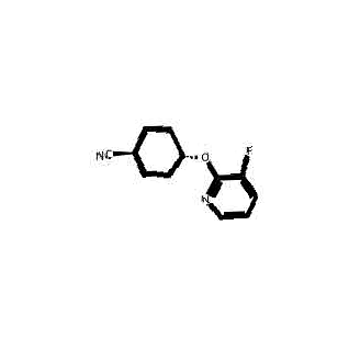 N#C[C@H]1CC[C@H](Oc2ncccc2F)CC1